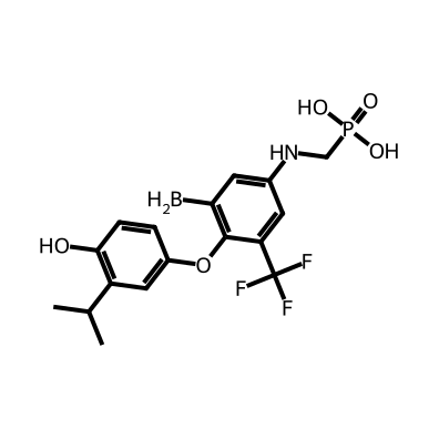 Bc1cc(NCP(=O)(O)O)cc(C(F)(F)F)c1Oc1ccc(O)c(C(C)C)c1